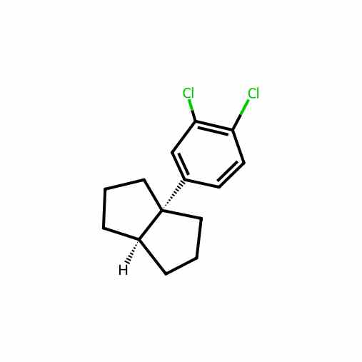 Clc1ccc([C@]23CCC[C@H]2CCC3)cc1Cl